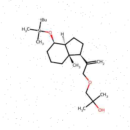 C=C(COCC(C)(C)O)[C@@H]1CC[C@@H]2[C@H](O[Si](C)(C)C(C)(C)C)CCC[C@]21C